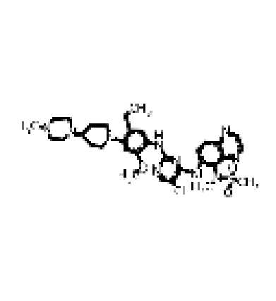 CCc1cc(Nc2ncc(Cl)c(Nc3ccc4nccnc4c3N(C)S(C)(=O)=O)n2)c(OC)cc1N1CCC(N2CCN(C)CC2)CC1